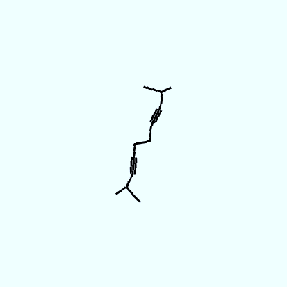 C[C](C)C#CCCC#CC(C)C